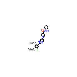 COc1cc(OC)c(-c2cn3ccc(N4CCC(C(=O)NC5CCCCC5)CC4)cc3n2)cc1Cl